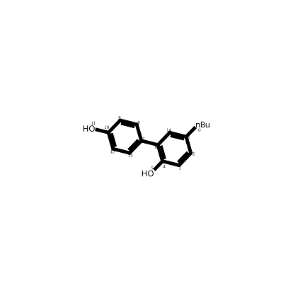 CCCCc1ccc(O)c(-c2ccc(O)cc2)c1